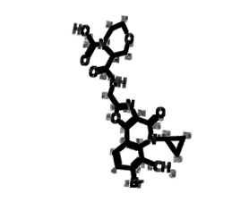 Cc1c(Br)ccc2c3oc(CNC(=O)C4COCCN4C(=O)O)nc3c(=O)n(C3CC3)c12